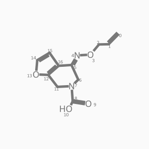 C=CCON=C1CN(C(=O)O)Cc2occc21